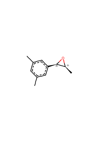 Cc1cc(C)cc([C@H]2O[C@H]2C)c1